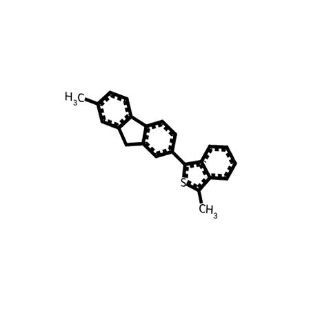 Cc1ccc2c(c1)Cc1cc(-c3sc(C)c4ccccc34)ccc1-2